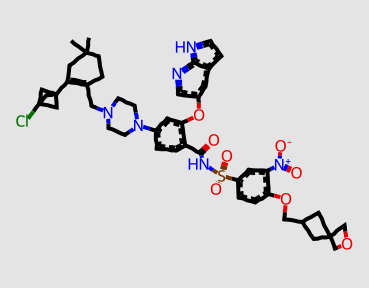 CC1(C)CCC(CN2CCN(c3ccc(C(=O)NS(=O)(=O)c4ccc(OCC5CC6(COC6)C5)c([N+](=O)[O-])c4)c(Oc4cnc5[nH]ccc5c4)c3)CC2)=C(C23CC(Cl)(C2)C3)C1